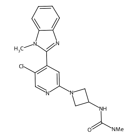 CNC(=O)NC1CN(c2cc(-c3nc4ccccc4n3C)c(Cl)cn2)C1